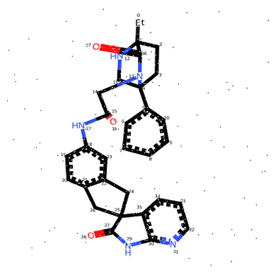 CCC12CCC(c3ccccc3)(CN1)N(CC(=O)Nc1ccc3c(c1)CC1(C3)C(=O)Nc3ncccc31)C2=O